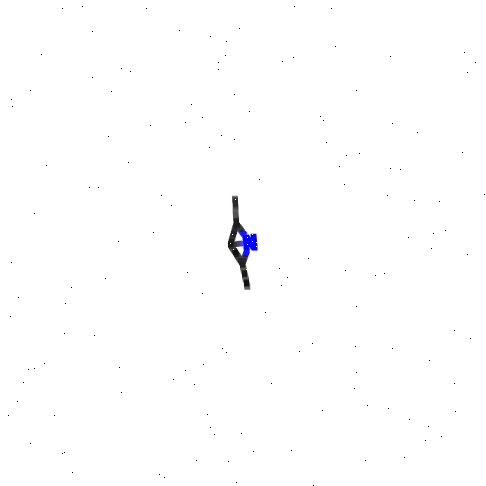 CC1C2C(C)N12